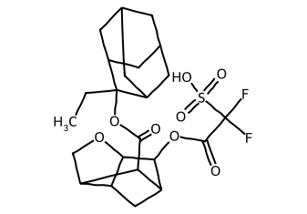 CCC1(OC(=O)C2C3COC4C3CC2C4OC(=O)C(F)(F)S(=O)(=O)O)C2CC3CC(C2)CC1C3